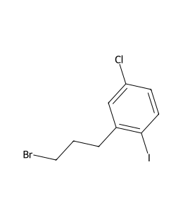 Clc1ccc(I)c(CCCBr)c1